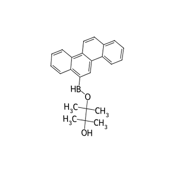 CC(C)(O)C(C)(C)OBc1cc2c3ccccc3ccc2c2ccccc12